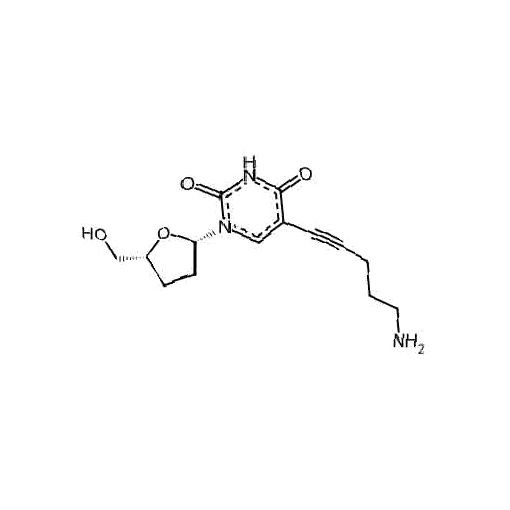 NCCCC#Cc1cn([C@@H]2CC[C@H](CO)O2)c(=O)[nH]c1=O